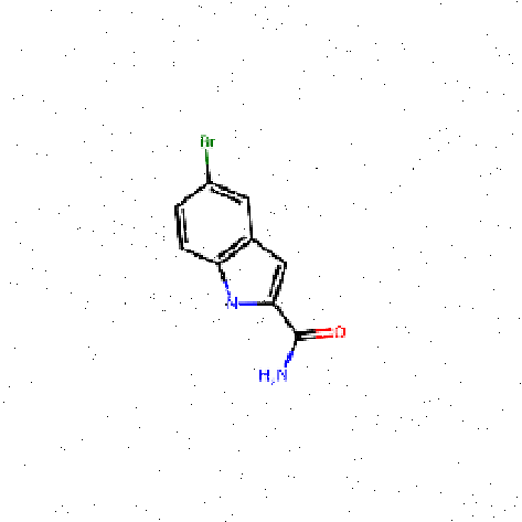 NC(=O)C1=Cc2cc(Br)ccc2[N]1